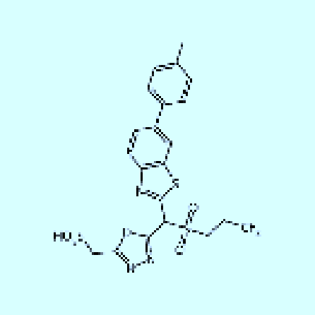 Cc1ccc(-c2ccc3nc(C(c4nnc(CS(=O)(=O)O)o4)S(=O)(=O)CCC(F)(F)F)sc3c2)cc1